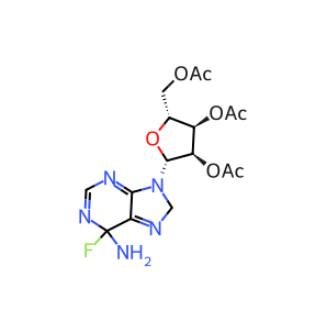 CC(=O)OC[C@H]1O[C@@H](N2CN=C3C2=NC=NC3(N)F)[C@H](OC(C)=O)[C@@H]1OC(C)=O